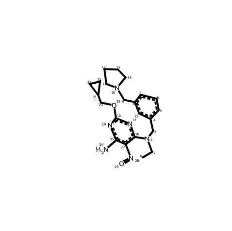 CCN(Cc1cccc(CN2CCCC2)c1)c1nc(OCC2CC2)nc(N)c1N=O